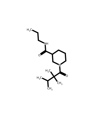 CCCNC(=O)C1CCCN(C(=O)C(C)(C)C(C)C)C1